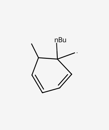 [CH2]C1(CCCC)C=CC=CC1C